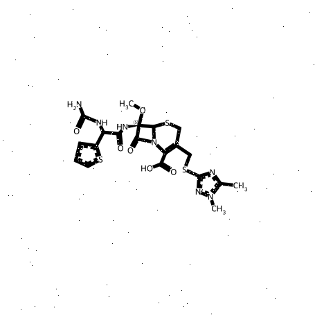 CO[C@@]1(NC(=O)C(NC(N)=O)c2cccs2)C(=O)N2C(C(=O)O)=C(CSc3nc(C)n(C)n3)CSC21